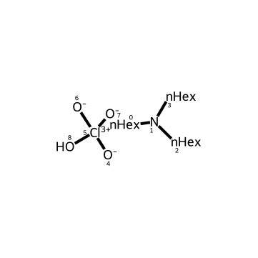 CCCCCCN(CCCCCC)CCCCCC.[O-][Cl+3]([O-])([O-])O